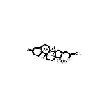 CC(=O)C=C1C[C@H]2[C@@H]3CCC4=CC(=O)CC[C@]4(C)[C@H]3CC[C@]2(C)[C@H]1O